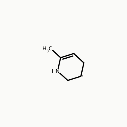 CC1=CC[C]CN1